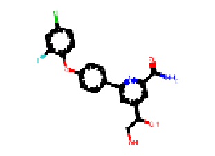 NC(=O)c1cc(C(O)CO)cc(-c2ccc(Oc3ccc(Cl)cc3F)cc2)n1